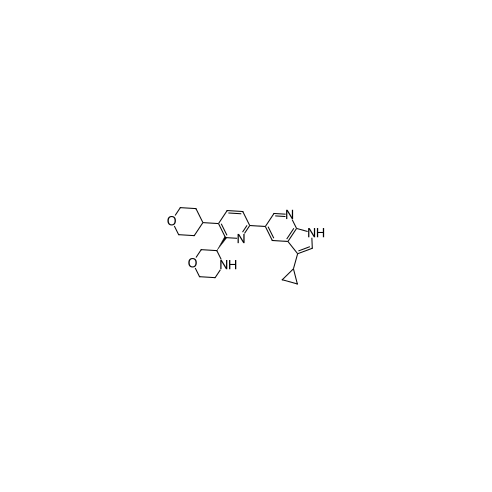 c1nc2[nH]cc(C3CC3)c2cc1-c1ccc(C2CCOCC2)c([C@@H]2COCCN2)n1